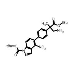 CC(C)(C)OC(=O)n1ncc2c([N+](=O)[O-])c(-c3ccc(C(C)(CN)C(=O)OC(C)(C)C)cc3)ccc21